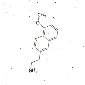 COc1cccc2cc(CCN)ccc12